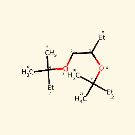 CCC(COC(C)(C)CC)OC(C)(C)CC